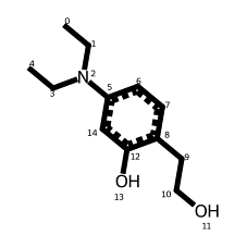 CCN(CC)c1ccc(CCO)c(O)c1